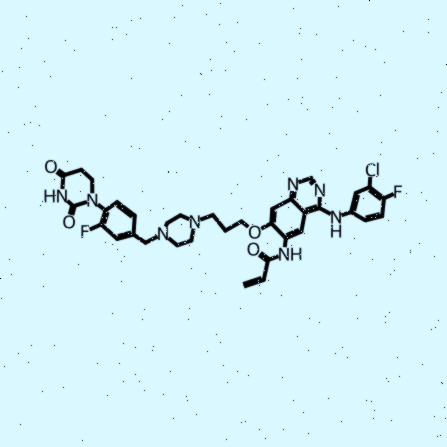 C=CC(=O)Nc1cc2c(Nc3ccc(F)c(Cl)c3)ncnc2cc1OCCCN1CCN(Cc2ccc(N3CCC(=O)NC3=O)c(F)c2)CC1